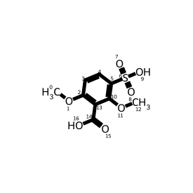 COc1ccc(S(=O)(=O)O)c(OC)c1C(=O)O